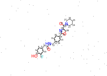 O=C(Cc1ccc(O)c(F)c1)NCc1ccc(-c2nc(C(=O)N3CCCCC3)co2)cc1